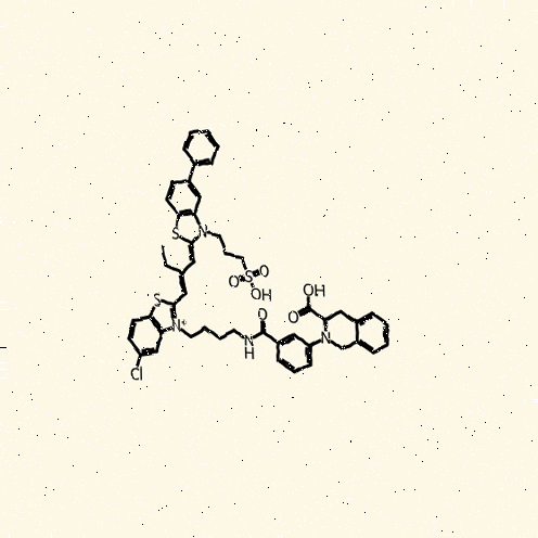 CCC(/C=C1\Sc2ccc(-c3ccccc3)cc2N1CCCS(=O)(=O)O)=C\c1sc2ccc(Cl)cc2[n+]1CCCCNC(=O)c1cccc(N2Cc3ccccc3CC2C(=O)O)c1